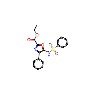 CCOC(=O)c1nc(-c2ccccc2)c(NS(=O)(=O)c2ccccc2)o1